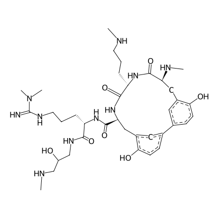 CNCCC[C@@H]1NC(=O)[C@@H](NC)Cc2cc(ccc2O)-c2ccc(O)c(c2)C[C@@H](C(=O)N[C@@H](CCCNC(=N)N(C)C)C(=O)NCC(O)CNC)NC1=O